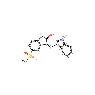 CNS(=O)(=O)c1ccc2c(c1)C(=Cc1cn(C)c3ccccc13)C(=O)N2